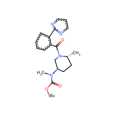 C[C@@H]1CC[C@@H](N(C)C(=O)OC(C)(C)C)CN1C(=O)c1ccccc1-c1ncccn1